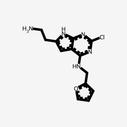 NCCc1cc2c(NCc3ccco3)nc(Cl)nc2[nH]1